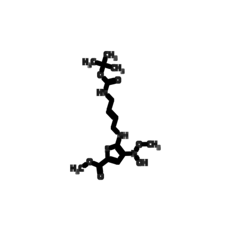 COC(=O)c1cc(N(O)OC)c(NC/C=C/CNC(=O)OC(C)(C)C)s1